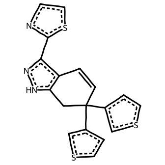 C1=CC(c2ccsc2)(c2ccsc2)Cc2[nH]nc(-c3nccs3)c21